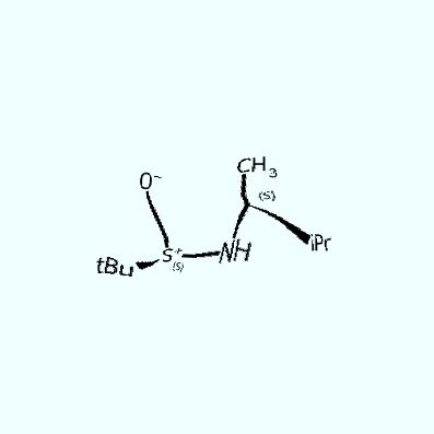 CC(C)[C@H](C)N[S@+]([O-])C(C)(C)C